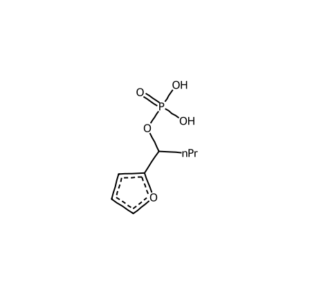 CCCC(OP(=O)(O)O)c1ccco1